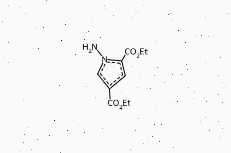 CCOC(=O)c1cc(C(=O)OCC)n(N)c1